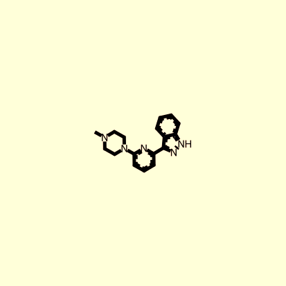 CN1CCN(c2cccc(-c3n[nH]c4ccccc34)n2)CC1